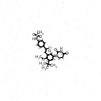 COc1c(/C=C(\C)c2ccc(NS(C)(=O)=O)cc2)cc(N2CCC(=O)NC2=O)cc1C(C)(C)C